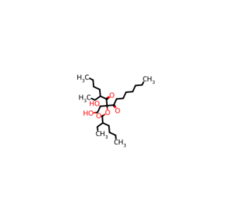 CCCCCCCC(=O)C(OC(=O)C(CC)CCCC)(C(=O)C(CC)CCCC)C(O)CO